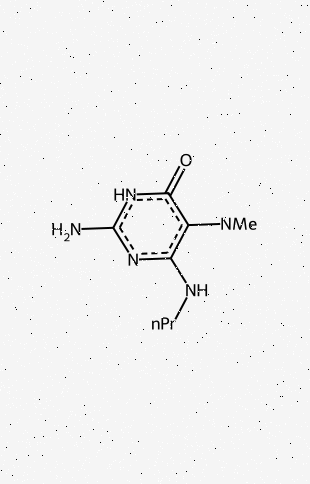 CCCNc1nc(N)[nH]c(=O)c1NC